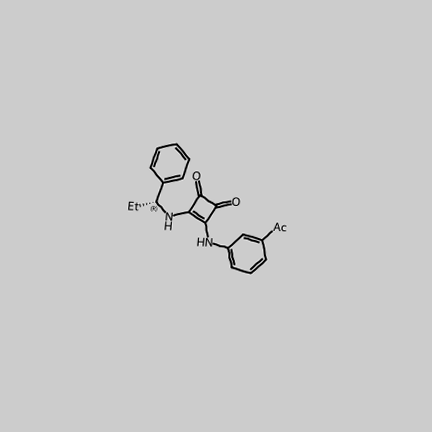 CC[C@@H](Nc1c(Nc2cccc(C(C)=O)c2)c(=O)c1=O)c1ccccc1